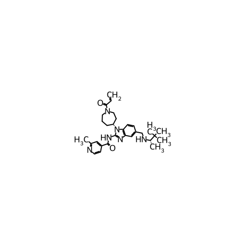 C=CC(=O)N1CCC[C@@H](n2c(NC(=O)c3ccnc(C)c3)nc3cc(CN[C@@H](C)C(C)(C)C)ccc32)CC1